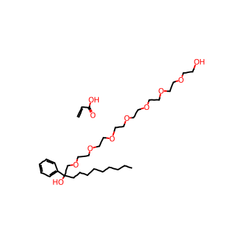 C=CC(=O)O.CCCCCCCCCC(O)(COCCOCCOCCOCCOCCOCCOCCO)c1ccccc1